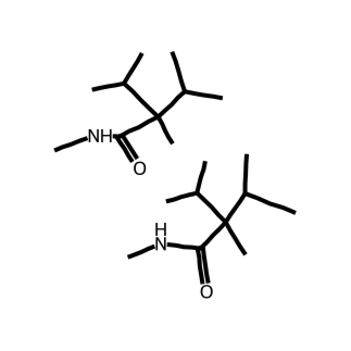 CNC(=O)C(C)(C(C)C)C(C)C.CNC(=O)C(C)(C(C)C)C(C)C